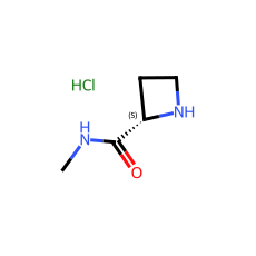 CNC(=O)[C@@H]1CCN1.Cl